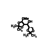 CO[C@@H]1OC(C)(C)O[C@@H]1[C@@H](O)[C@@H]1COC(C)(C)O1